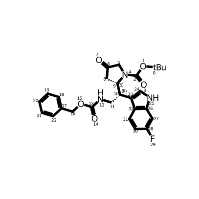 CC(C)(C)OC(=O)N1CC(=O)C[C@H]1[C@@H](CNC(=O)OCc1ccccc1)c1c[nH]c2cc(F)ccc12